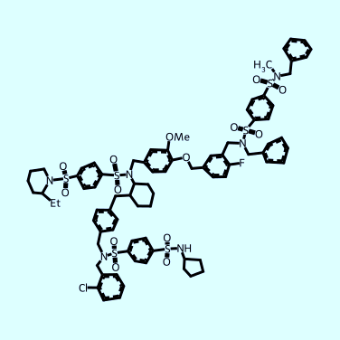 CCC1CCCCN1S(=O)(=O)c1ccc(S(=O)(=O)N(Cc2ccc(OCc3ccc(F)c(CN(Cc4ccccc4)S(=O)(=O)c4ccc(S(=O)(=O)N(C)Cc5ccccc5)cc4)c3)c(OC)c2)C2CCCCC2Cc2ccc(CN(Cc3ccccc3Cl)S(=O)(=O)c3ccc(S(=O)(=O)NC4CCCC4)cc3)cc2)cc1